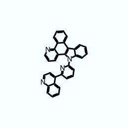 c1cc(-c2ccnc3ccccc23)nc(-n2c3ccccc3c3c4ccccc4c4ncccc4c32)c1